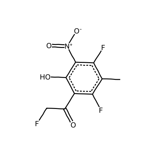 Cc1c(F)c(C(=O)CF)c(O)c([N+](=O)[O-])c1F